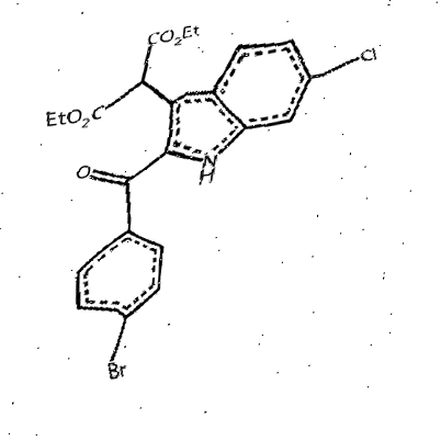 CCOC(=O)C(C(=O)OCC)c1c(C(=O)c2ccc(Br)cc2)[nH]c2cc(Cl)ccc12